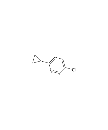 Clc1[c]nc(C2CC2)cc1